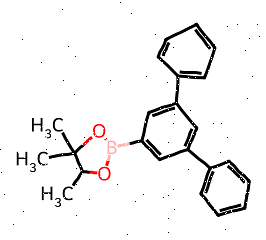 CC1OB(c2cc(-c3ccccc3)cc(-c3ccccc3)c2)OC1(C)C